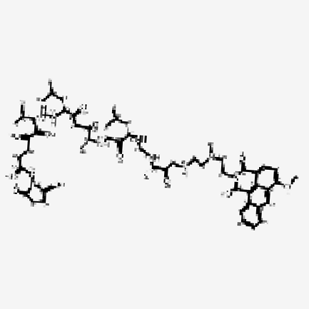 COc1ccc2c3c(c4ccccc4cc13)C(=O)N(CCN(C)CCNCC(=O)[C@H](C)NCN[C@@H](CC(C)C)C(=O)CN[C@@H](C)C(=O)CC(=O)[C@H](CC(C)C)NN[C@H](C(=O)C(=O)CCC(=O)ON1C(=O)CCC1=O)C(C)C)C2=O